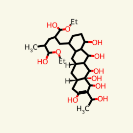 CCOC(O)C(C)CC(CC1CCC(O)C2C(O)C3C(O)[C@]4(O)C(O)C(C(C)O)=C(O)C[C@@H]4C[C@@H]3CC12)C(O)OCC